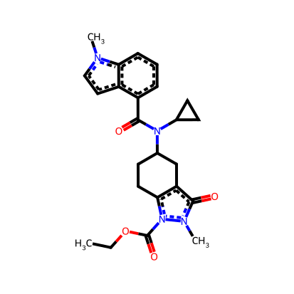 CCOC(=O)n1c2c(c(=O)n1C)CC(N(C(=O)c1cccc3c1ccn3C)C1CC1)CC2